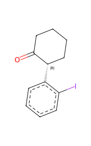 O=C1CCCC[C@@H]1c1ccccc1I